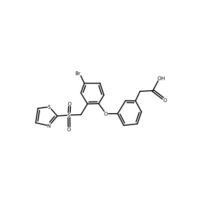 O=C(O)Cc1cccc(Oc2ccc(Br)cc2CS(=O)(=O)c2nccs2)c1